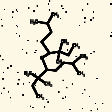 CCC(C)(C)C(CCC(C)C)OC(CCC(C)C)C(C)(C)CC